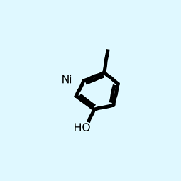 Cc1ccc(O)cc1.[Ni]